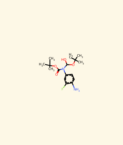 CC(C)(C)OC(=O)N(c1ccc(N)c(F)c1)C(O)OC(C)(C)C